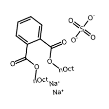 CCCCCCCCOC(=O)c1ccccc1C(=O)OCCCCCCCC.O=S(=O)([O-])[O-].[Na+].[Na+]